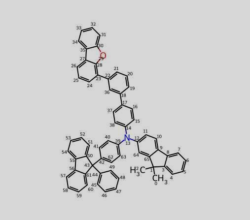 CC1(C)c2ccccc2-c2ccc(N(c3ccc(-c4cccc(-c5cccc6c5oc5ccccc56)c4)cc3)c3ccc(C4(c5ccccc5)c5ccccc5-c5ccccc54)cc3)cc21